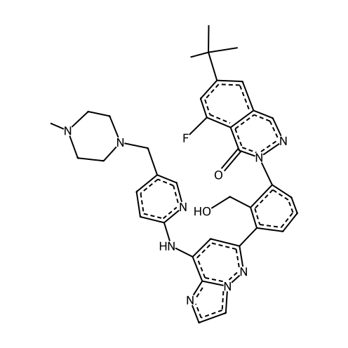 CN1CCN(Cc2ccc(Nc3cc(-c4cccc(-n5ncc6cc(C(C)(C)C)cc(F)c6c5=O)c4CO)nn4ccnc34)nc2)CC1